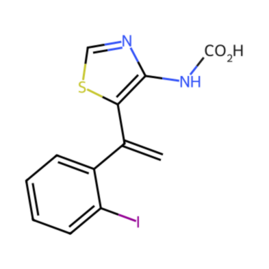 C=C(c1ccccc1I)c1scnc1NC(=O)O